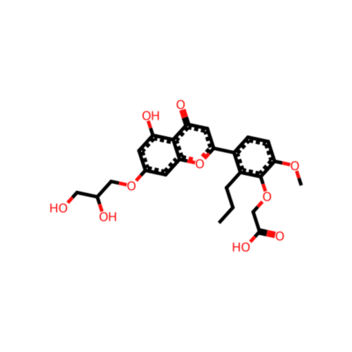 CCCc1c(-c2cc(=O)c3c(O)cc(OCC(O)CO)cc3o2)ccc(OC)c1OCC(=O)O